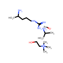 CC(=O)[O-].CC(N)C(=O)O.C[N+](C)(C)CCO.N=C(N)NCCCC(N)C(=O)O